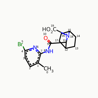 Cc1ccc(Br)nc1NC(=O)C1C2CCC(CC2)N1C(=O)O